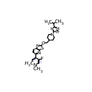 C=N/C=C(F)\C(=C/C)c1ccc2nc(OCC3CCN(c4nc(C(C)C)no4)CC3)sc2n1